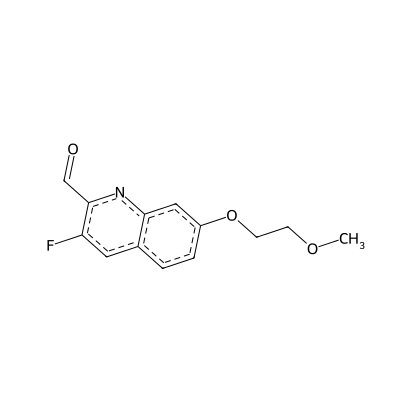 COCCOc1ccc2cc(F)c(C=O)nc2c1